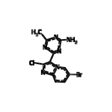 Cc1nc(N)nc(-c2c(Cl)nc3ccc(Br)cn23)n1